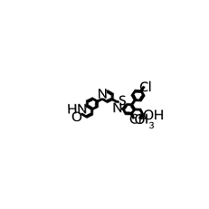 Cc1cc2nc(-c3ccnc(-c4ccc5[nH]c(=O)ccc5c4)c3)sc2c(-c2ccc(Cl)cc2)c1CC(=O)O